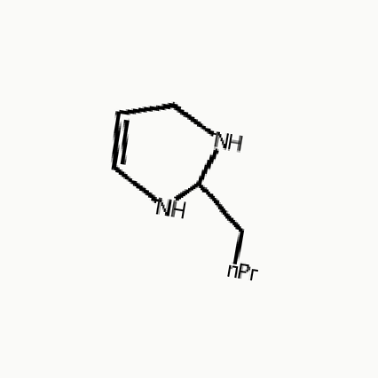 CCCCC1NC=CCN1